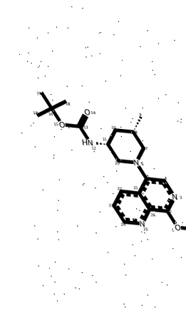 COc1ncc(N2C[C@@H](C)C[C@@H](NC(=O)OC(C)(C)C)C2)c2cccnc12